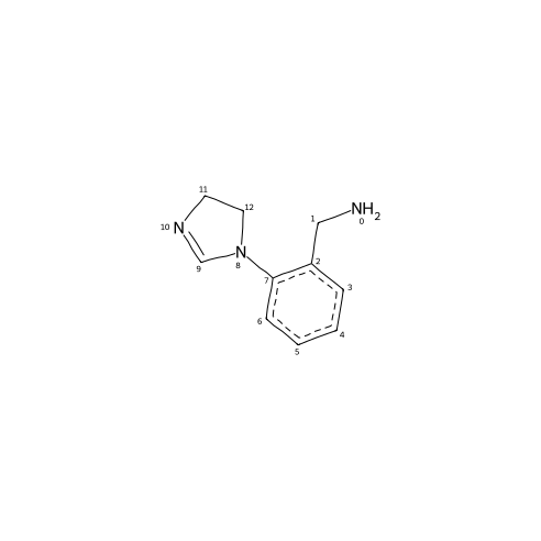 NCc1ccccc1N1C=NCC1